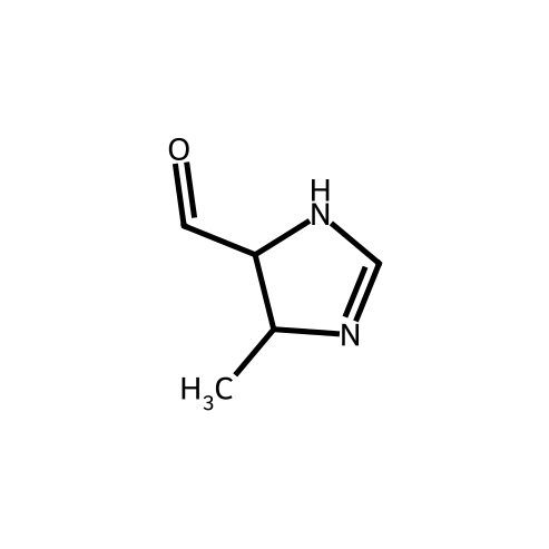 CC1N=CNC1C=O